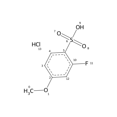 COc1ccc(S(=O)(=O)O)c(F)c1.Cl